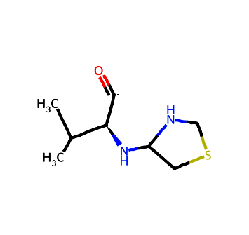 CC(C)[C@@H]([C]=O)NC1CSCN1